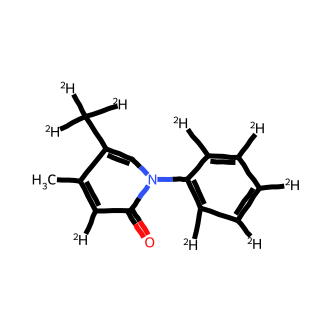 [2H]c1c([2H])c([2H])c(-n2cc(C([2H])([2H])[2H])c(C)c([2H])c2=O)c([2H])c1[2H]